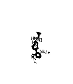 CNc1ccc2[nH]ncc2c1-c1ccc2nc(NC(=O)C3CC3)cn2c1